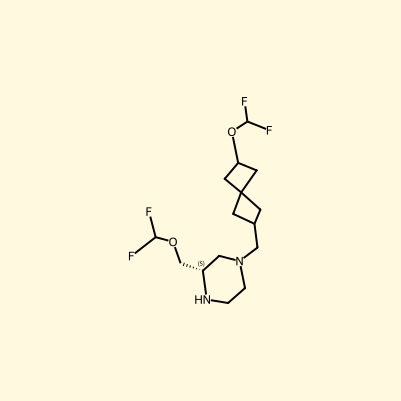 FC(F)OC[C@@H]1CN(CC2CC3(C2)CC(OC(F)F)C3)CCN1